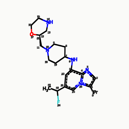 CC(C)c1cnc2c(NC3CCN(C[C@@H]4CNCCO4)CC3)cc(C(C)F)cn12